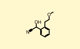 COCCc1ccccc1C(O)C#N